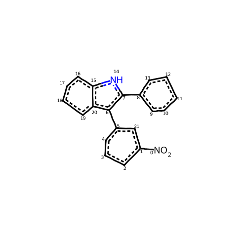 O=[N+]([O-])c1cccc(-c2c(-c3ccccc3)[nH]c3ccccc23)c1